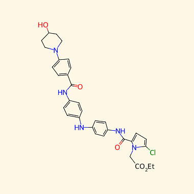 CCOC(=O)Cn1c(Cl)ccc1C(=O)Nc1ccc(Nc2ccc(NC(=O)c3ccc(N4CCC(O)CC4)cc3)cc2)cc1